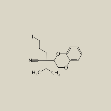 CC(C)C(C#N)(CCCI)C1COc2ccccc2O1